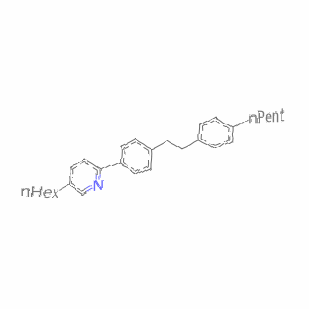 CCCCCCc1ccc(-c2ccc(CCc3ccc(CCCCC)cc3)cc2)nc1